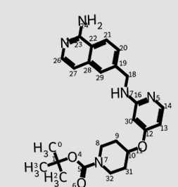 CC(C)(C)OC(=O)N1CCC(Oc2ccnc(NCc3ccc4c(N)nccc4c3)c2)CC1